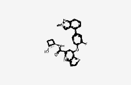 Cn1cc2c(-c3ccc(Oc4cc(C(=O)N[C@@H]5CC[C@H]5O)nc5ccsc45)c(F)c3)cccc2n1